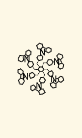 c1ccc2c(c1)c1ccccc1n2-c1ccc(Cc2c(Cc3ccc(-n4c5ccccc5c5ccccc54)cc3)c(Cc3ccc(-n4c5ccccc5c5ccccc54)cc3)c(Cc3ccc(-n4c5ccccc5c5ccccc54)cc3)c(Cc3ccc(-n4c5ccccc5c5ccccc54)cc3)c2Cc2ccc(-n3c4ccccc4c4ccccc43)cc2)cc1